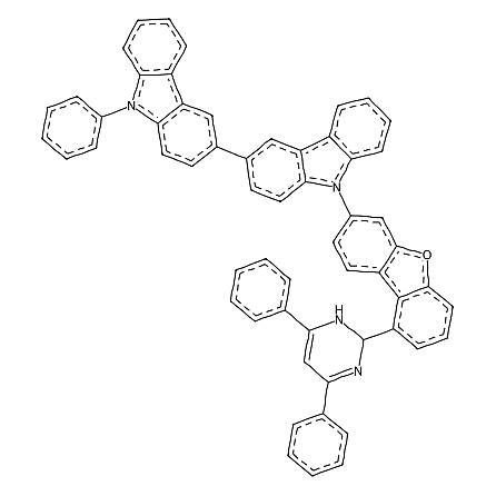 C1=C(c2ccccc2)NC(c2cccc3oc4cc(-n5c6ccccc6c6cc(-c7ccc8c(c7)c7ccccc7n8-c7ccccc7)ccc65)ccc4c23)N=C1c1ccccc1